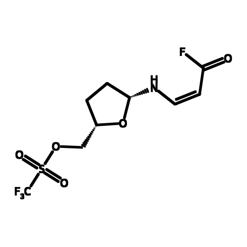 O=C(F)/C=C\N[C@H]1CC[C@@H](COS(=O)(=O)C(F)(F)F)O1